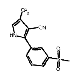 CS(=O)(=O)c1cccc(-c2[nH]cc(C(F)(F)F)c2C#N)c1